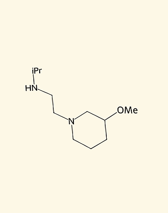 COC1CCCN(CCNC(C)C)C1